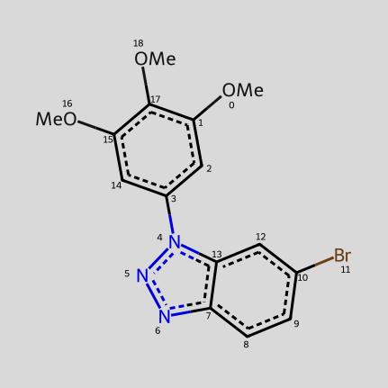 COc1cc(-n2nnc3ccc(Br)cc32)cc(OC)c1OC